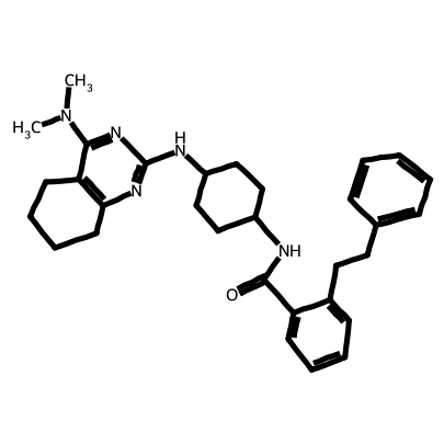 CN(C)c1nc(NC2CCC(NC(=O)c3ccccc3CCc3ccccc3)CC2)nc2c1CCCC2